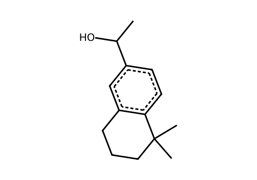 CC(O)c1ccc2c(c1)CCCC2(C)C